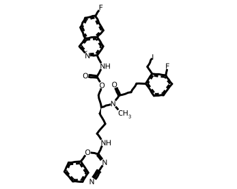 CN(C(=O)CCc1cccc(F)c1CI)[C@@H](CCCN/C(=N/C#N)Oc1ccccc1)COC(=O)Nc1cc2cc(F)ccc2cn1